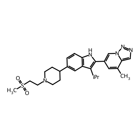 Cc1cc(-c2[nH]c3ccc(C4CCN(CCS(C)(=O)=O)CC4)cc3c2C(C)C)cn2nncc12